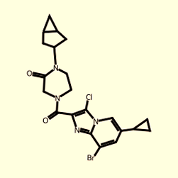 O=C(c1nc2c(Br)cc(C3CC3)cn2c1Cl)N1CCN(C2CC3CC3C2)C(=O)C1